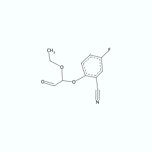 CCOC(C=O)Oc1c[c]c(F)cc1C#N